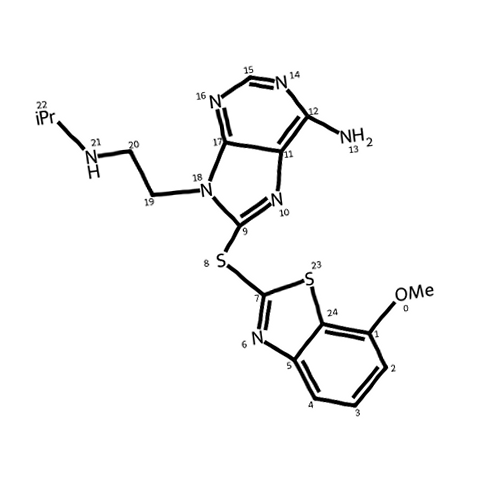 COc1cccc2nc(Sc3nc4c(N)ncnc4n3CCNC(C)C)sc12